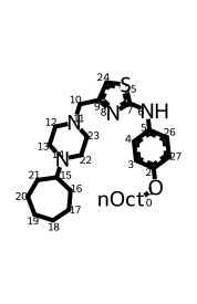 CCCCCCCCOc1ccc(Nc2nc(CN3CCN(C4CCCCCC4)CC3)cs2)cc1